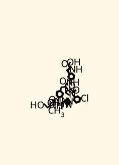 CC(C)(CCO)NC(=O)Nc1ccc(CC(C(=O)Nc2ccc3[nH]c(C(=O)O)cc3c2)N2CCN(c3cc(Cl)ccc3-n3cnnn3)C(=O)C2=O)cc1